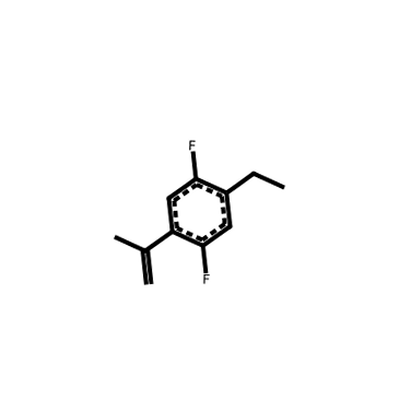 C=C(C)c1cc(F)c(CC)cc1F